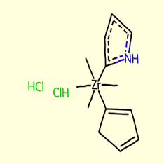 Cl.Cl.[CH3][Zr]([CH3])([CH3])([CH3])([C]1=CC=CC1)[c]1ccc[nH]1